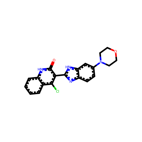 O=c1[nH]c2ccccc2c(Cl)c1-c1nc2ccc(N3CCOCC3)cc2[nH]1